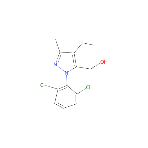 CCc1c(C)nn(-c2c(Cl)cccc2Cl)c1CO